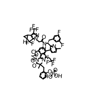 Cc1ccc(-c2ccc(Cl)c3c(N(C(=O)C(C)(C)Cc4ccccc4OP(=O)(O)O)S(C)(=O)=O)nn(CC(F)(F)F)c23)c([C@H](Cc2cc(F)cc(F)c2)NC(=O)Cn2nc(C(F)(F)F)c3c2C(F)(F)[C@@H]2CC32)n1